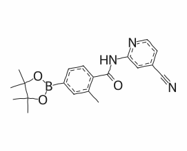 Cc1cc(B2OC(C)(C)C(C)(C)O2)ccc1C(=O)Nc1cc(C#N)ccn1